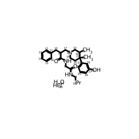 CC(C)CNC(=O)CNC(=O)C(Cc1ccccc1)CN1CCC(C)(c2cccc(O)c2)C(C)C1.Cl.O